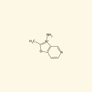 Cc1oc2ccncc2[n+]1N